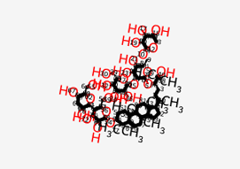 C[C@H](CC[C@@H](O[C@@H]1O[C@H](CO[C@@H]2OC[C@@H](O)[C@H](O)[C@H]2O)[C@@H](O)[C@H](O)[C@H]1O[C@H]1O[C@@H](CO)[C@H](O)[C@@H](O)[C@@H]1O)C(C)(C)O)C1CC[C@@]2(C)C3CC=C4C(CC[C@H](O[C@@H]5O[C@H](CO)C([C@@H]6O[C@H](CO)[C@@H](O)C[C@H]6O)[C@H](O)[C@H]5O)C4(C)C)[C@]3(C)CC[C@]12C